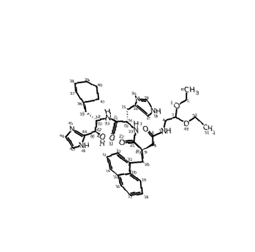 CCOC(CNC(=O)C[C@@H](Cc1cccc2ccccc12)C(=O)N[C@@H](Cc1c[nH]cn1)C(=O)N[C@@H](CC1CCCCC1)[C@@H](O)c1ncc[nH]1)OCC